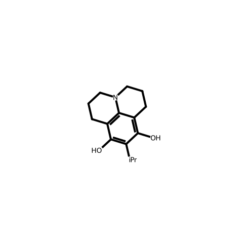 CC(C)c1c(O)c2c3c(c1O)CCCN3CCC2